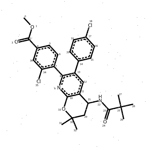 COC(=O)c1ccc(-c2nc3c(cc2-c2ccc(Cl)cc2)C(NC(=O)C(C)(C)C)CC(C)(C)O3)c(Cl)c1